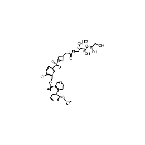 O=C(CC1CN(S(=O)(=O)c2ccc(Cl)c(COC3(c4cnccc4-c4ccccc4OC4CC4)CC3)c2)C1)NC[C@H](O)[C@@H](O)[C@H](O)[C@H](O)CO